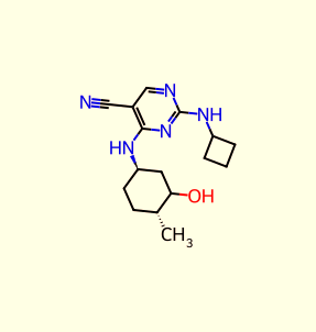 C[C@@H]1CC[C@@H](Nc2nc(NC3CCC3)ncc2C#N)CC1O